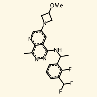 COC1CN(c2cnc3c(C)nnc(NC(C)c4cccc(C(F)F)c4F)c3c2)C1